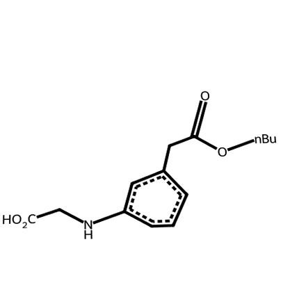 CCCCOC(=O)Cc1cccc(NCC(=O)O)c1